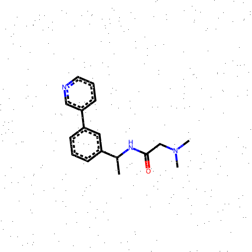 CC(NC(=O)CN(C)C)c1cccc(-c2cccnc2)c1